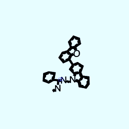 C=N/C(=N\Cn1c2ccccc2c2ccc(-c3cccc4c3oc3ccccc34)cc21)c1ccccc1